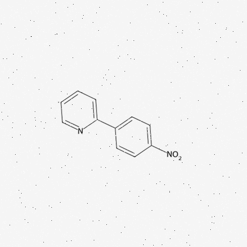 O=[N+]([O-])c1ccc(-c2cc[c]cn2)cc1